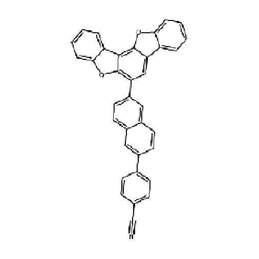 N#Cc1ccc(-c2ccc3cc(-c4cc5c6ccccc6oc5c5c4oc4ccccc45)ccc3c2)cc1